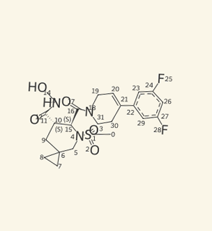 CS(=O)(=O)N1CC2(CC2)C[C@H](C(=O)NO)[C@H]1C(=O)N1CC=C(c2cc(F)cc(F)c2)CC1